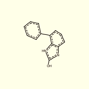 Oc1nc2cccc(-c3ccccc3)c2[nH]1